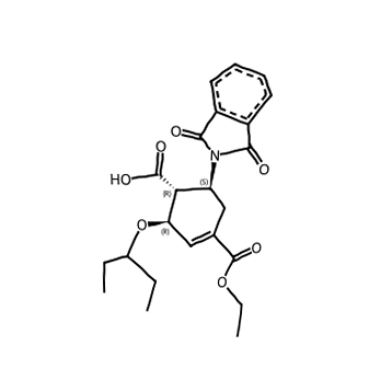 CCOC(=O)C1=C[C@@H](OC(CC)CC)[C@H](C(=O)O)[C@@H](N2C(=O)c3ccccc3C2=O)C1